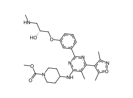 CNC[C@@H](O)COc1cccc(-c2nc(NC3CCN(C(=O)OC)CC3)c(C)c(-c3c(C)noc3C)n2)c1